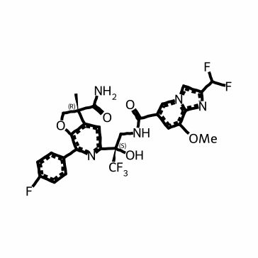 COc1cc(C(=O)NC[C@](O)(c2cc3c(c(-c4ccc(F)cc4)n2)OC[C@]3(C)C(N)=O)C(F)(F)F)cn2cc(C(F)F)nc12